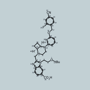 CC(C)(C)OCCn1c(CN2CCN(c3cccc(OCc4ccc(C#N)cc4F)n3)[C@@H]3CC[C@@H]32)nc2ccc(C(=O)O)cc21